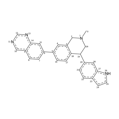 CN1Cc2cc(-c3ccc4cncnc4c3)ccc2C(c2ccc3cc[nH]c3c2)C1